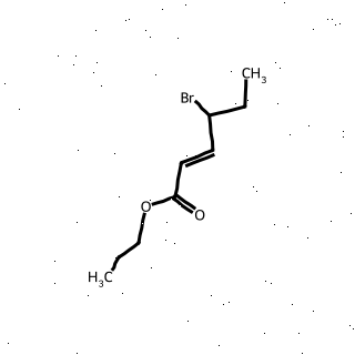 CCCOC(=O)C=CC(Br)CC